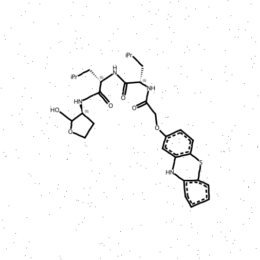 CC(C)C[C@H](NC(=O)COc1ccc2c(c1)Nc1ccccc1S2)C(=O)N[C@@H](CC(C)C)C(=O)N[C@H]1CCOC1O